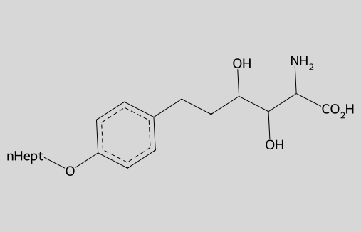 CCCCCCCOc1ccc(CCC(O)C(O)C(N)C(=O)O)cc1